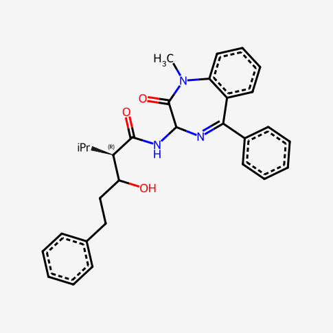 CC(C)[C@@H](C(=O)NC1N=C(c2ccccc2)c2ccccc2N(C)C1=O)C(O)CCc1ccccc1